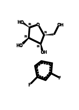 Fc1cccc(F)c1.OC[C@H]1O[C@@H](O)[C@H](O)[C@@H]1O